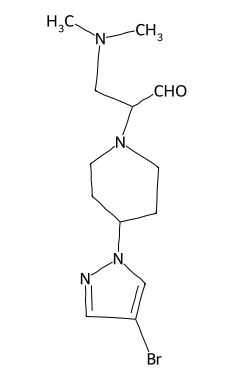 CN(C)CC(C=O)N1CCC(n2cc(Br)cn2)CC1